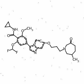 COc1cc(-c2cnc3cc(OCCCN4CC(=O)CCC(C)C4)ccn23)cc(OC(F)F)c1C(=O)NC1CC1